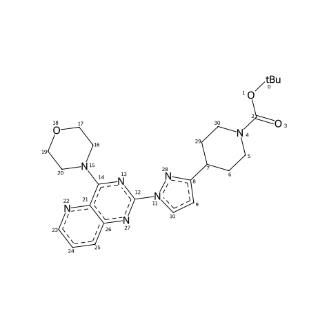 CC(C)(C)OC(=O)N1CCC(c2ccn(-c3nc(N4CCOCC4)c4ncccc4n3)n2)CC1